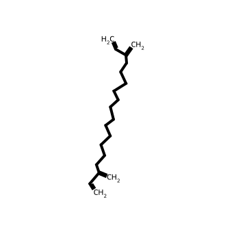 C=CC(=C)CCCCCCCCCCCCC(=C)C=C